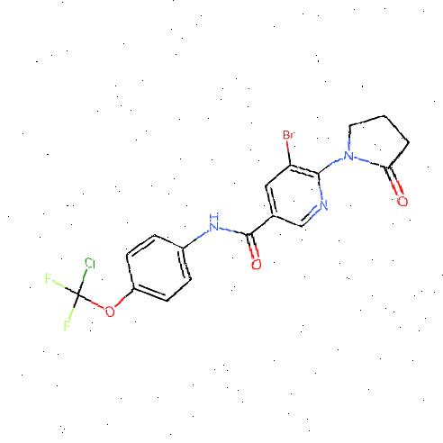 O=C(Nc1ccc(OC(F)(F)Cl)cc1)c1cnc(N2CCCC2=O)c(Br)c1